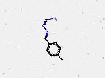 Cc1ccc(/C=N/N=C\N)cc1